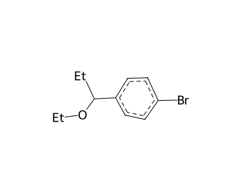 CCOC(CC)c1ccc(Br)cc1